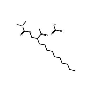 CCCCCCCCCCC(COC(=S)N(C)C)C(C)=O.NC(O)=S